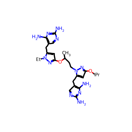 CCn1nc(OC(C)CCn2nc(OC(C)C)cc2Cc2cnc(N)nc2N)cc1Cc1cnc(N)nc1N